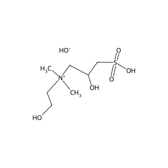 C[N+](C)(CCO)CC(O)CS(=O)(=O)O.[OH-]